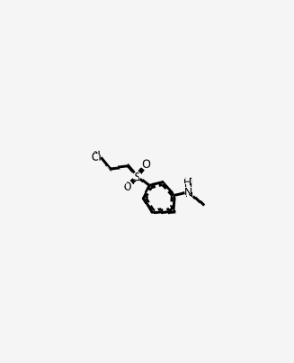 CNc1cccc(S(=O)(=O)CCCl)c1